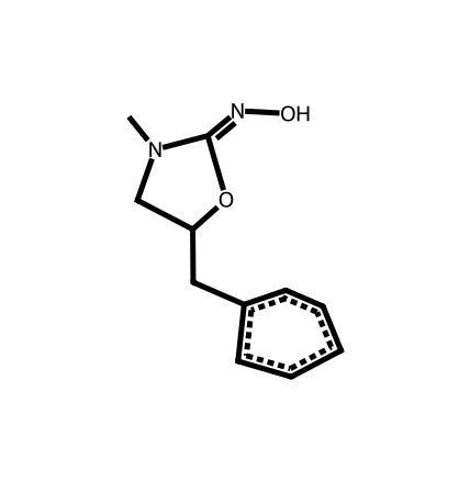 CN1CC(Cc2ccccc2)OC1=NO